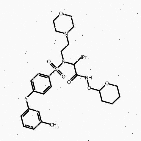 Cc1cccc(Sc2ccc(S(=O)(=O)N(CCN3CCOCC3)C(C(=O)NOC3CCCCO3)C(C)C)cc2)c1